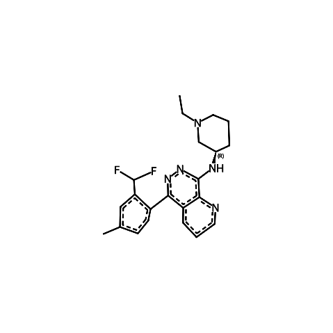 CCN1CCC[C@@H](Nc2nnc(-c3ccc(C)cc3C(F)F)c3cccnc23)C1